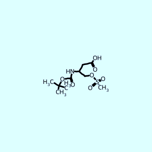 CC(C)(C)OC(=O)NC(COS(C)(=O)=O)CC(=O)O